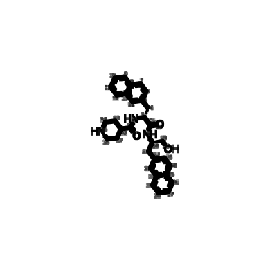 O=C(N[C@H](Cc1ccc2ccccc2c1)C(=O)N[C@@H](CO)Cc1ccc2ccccc2c1)C1CCNCC1